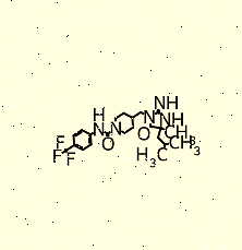 CC(C)CC1(C)NC(=N)N(CC2CCN(C(=O)Nc3ccc(C(F)(F)F)cc3)CC2)C1=O